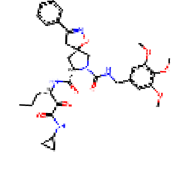 CCC[C@H](NC(=O)[C@@H]1C[C@]2(CC(c3ccccc3)=NO2)CN1C(=O)NCc1cc(OC)c(OC)c(OC)c1)C(=O)C(=O)NC1CC1